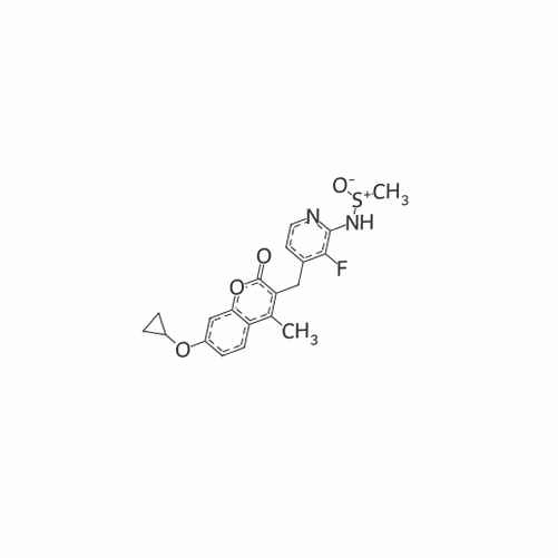 Cc1c(Cc2ccnc(N[S+](C)[O-])c2F)c(=O)oc2cc(OC3CC3)ccc12